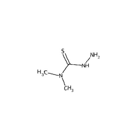 CN(C)C(=S)NN